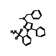 CN(Cc1ccccc1)c1cc(-c2ccccc2)n(-c2ccccc2S(N)(=O)=O)n1